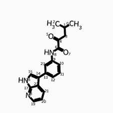 CC(C)CC(=O)C(=O)Nc1cccc(-c2c[nH]c3nc[c]cc23)c1